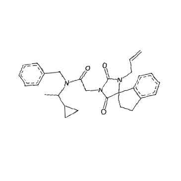 C=CCN1C(=O)N(CC(=O)N(Cc2ccccc2)C(C)C2CC2)C(=O)C12CCc1ccccc12